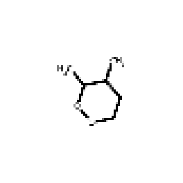 CC1CCOOC1C